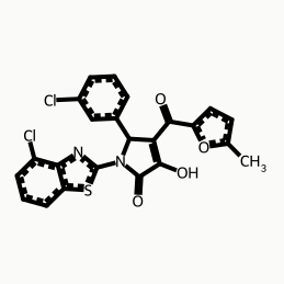 Cc1ccc(C(=O)C2=C(O)C(=O)N(c3nc4c(Cl)cccc4s3)C2c2cccc(Cl)c2)o1